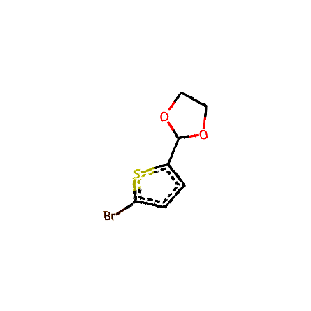 Brc1ccc(C2OCCO2)s1